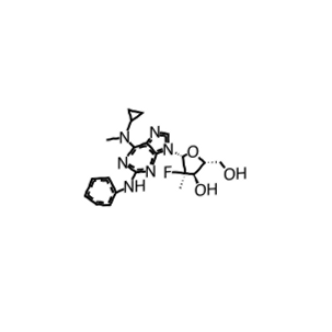 CN(c1nc(Nc2ccccc2)nc2c1ncn2[C@@H]1O[C@H](CO)[C@@H](O)[C@@]1(C)F)C1CC1